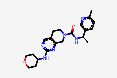 Cc1ccc([C@@H](C)NC(=O)N2CCc3cnc(NC4CCOCC4)nc3C2)cn1